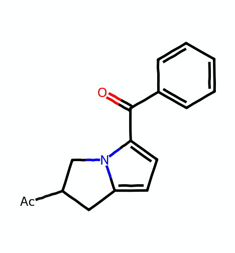 CC(=O)C1Cc2ccc(C(=O)c3ccccc3)n2C1